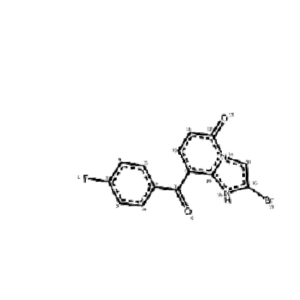 O=C(c1ccc(F)cc1)c1ccc(=O)n2cc(Br)[nH]c12